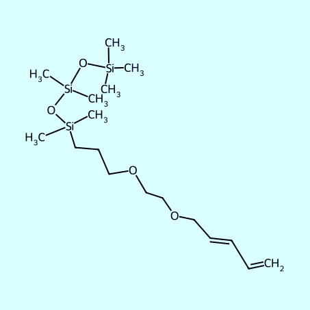 C=CC=CCOCCOCCC[Si](C)(C)O[Si](C)(C)O[Si](C)(C)C